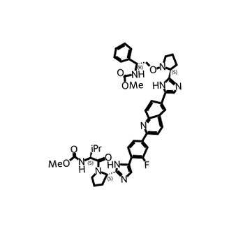 COC(=O)N[C@@H](CON1CCC[C@H]1c1ncc(-c2ccc3nc(-c4ccc(-c5cnc([C@@H]6CCCN6C(=O)[C@@H](NC(=O)OC)C(C)C)[nH]5)c(F)c4)ccc3c2)[nH]1)c1ccccc1